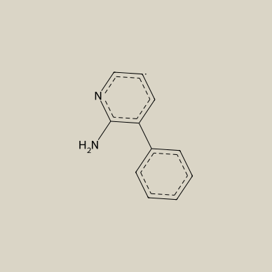 Nc1nc[c]cc1-c1ccccc1